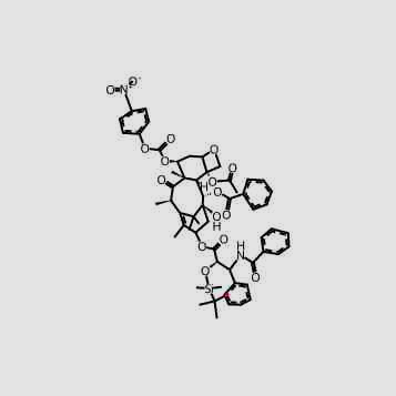 CC(=O)O[C@@]12COC1C[C@H](OC(=O)Oc1ccc([N+](=O)[O-])cc1)[C@@]1(C)C(=O)[C@H](C)C3=C(C)C(OC(=O)[C@H](O[Si](C)(C)C(C)(C)C)C(NC(=O)c4ccccc4)c4ccccc4)C[C@@](O)([C@@H](OC(=O)c4ccccc4)[C@@H]12)C3(C)C